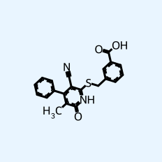 Cc1c(-c2ccccc2)c(C#N)c(SCc2cccc(C(=O)O)c2)[nH]c1=O